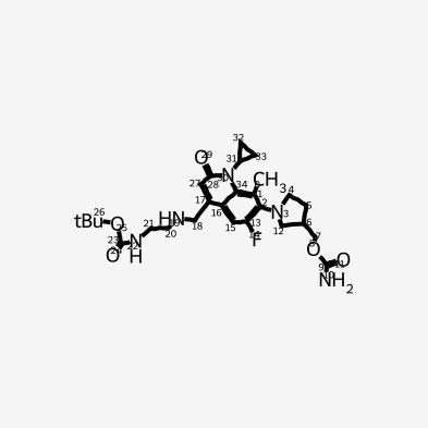 Cc1c(N2CCC(COC(N)=O)C2)c(F)cc2c(CNCCNC(=O)OC(C)(C)C)cc(=O)n(C3CC3)c12